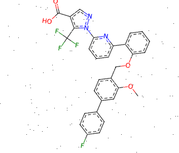 COc1cc(-c2ccc(F)cc2)ccc1COc1ccccc1-c1cccc(-n2ncc(C(=O)O)c2C(F)(F)F)n1